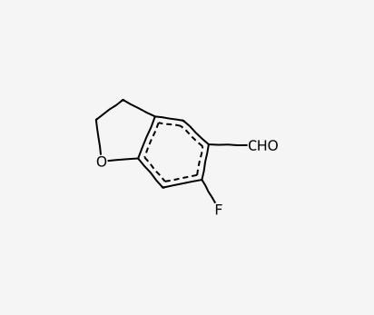 O=Cc1cc2c(cc1F)OCC2